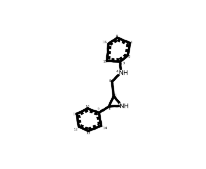 c1ccc(NCC2NC2c2ccccc2)cc1